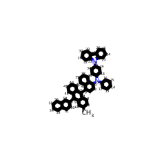 Cc1ccc2c(-c3ccc(N(c4ccccc4)c4ccc(-n5c6ccccc6c6ccccc65)cc4)c4ccccc34)c3ccccc3c(-c3ccc4ccccc4c3)c2c1